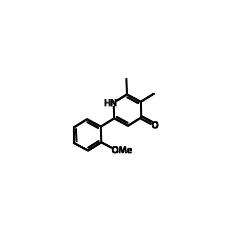 COc1ccccc1-c1cc(=O)c(C)c(C)[nH]1